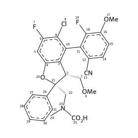 COC[C@H]1c2c(cc(F)c(Cl)c2-c2c(C#N)ccc(OC)c2F)O[C@]1(CN(C)C(=O)O)c1ccccc1